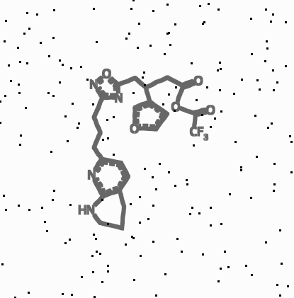 O=C(CC(Cc1nc(CCCc2ccc3c(n2)NCCC3)no1)c1ccoc1)OC(=O)C(F)(F)F